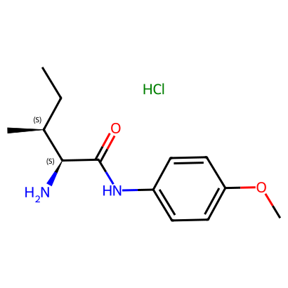 CC[C@H](C)[C@H](N)C(=O)Nc1ccc(OC)cc1.Cl